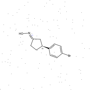 O/N=C1\CC[C@H](c2ccc(Br)cc2)C1